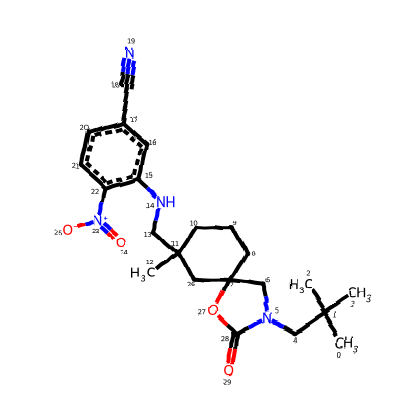 CC(C)(C)CN1CC2(CCCC(C)(CNc3cc(C#N)ccc3[N+](=O)[O-])C2)OC1=O